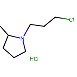 CC1CCCN1CCCCl.Cl